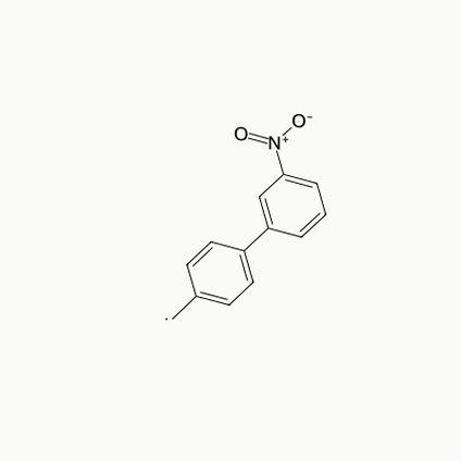 [CH2]c1ccc(-c2cccc([N+](=O)[O-])c2)cc1